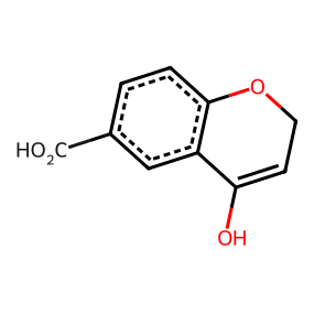 O=C(O)c1ccc2c(c1)C(O)=CCO2